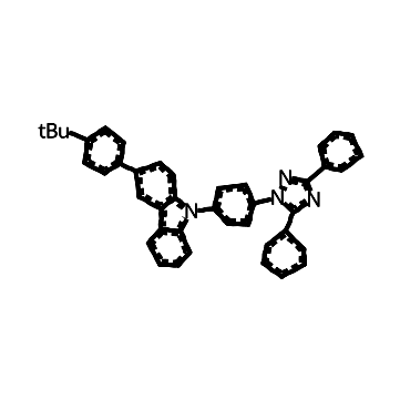 CC(C)(C)c1ccc(-c2ccc3c(c2)c2ccccc2n3-c2ccc(-n3nc(-c4ccccc4)nc3-c3ccccc3)cc2)cc1